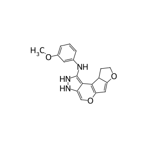 COc1cccc(NC2=C3C(=COC4=C3C3CCOC3=C4)NN2)c1